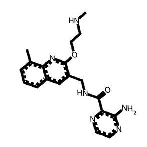 CNCCOc1nc2c(C)cccc2cc1CNC(=O)c1nccnc1N